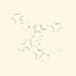 COCCCN1CCOc2ccc(CO[C@H]3CN(C(=O)OCc4ccccc4)[C@H](C(=O)N4CCC(c5ccccc5)C4)C[C@@H]3c3ccc(OC)cc3)cc21